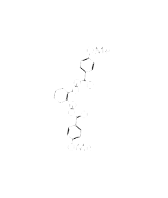 COc1ccc(C(=O)OOC2=C(OOC(=O)c3ccc(OC)cc3)CCCC2)cc1